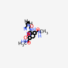 CNC(=O)c1ccc2c(c1)CCc1cc(C(=O)NC)ccc1C21C[C@H](NCC(=O)N2C(C#N)C[C@@H]3C[C@@H]32)Cn2oc(=O)nc21